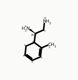 CC1=CC=CCC1[C@@H](N)CN